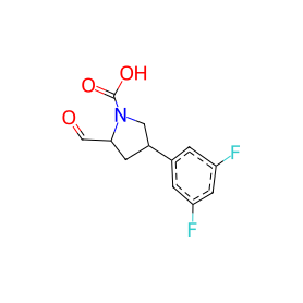 O=CC1CC(c2cc(F)cc(F)c2)CN1C(=O)O